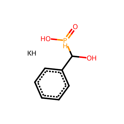 O=[PH](O)C(O)c1ccccc1.[KH]